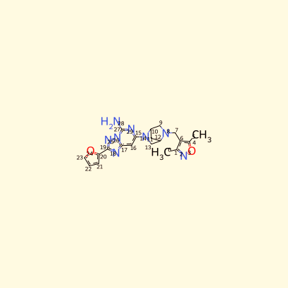 Cc1noc(C)c1CN1CC2CC1CN2c1cc2nc(-c3ccco3)nn2c(N)n1